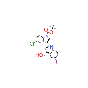 CC(C)(C)OC(=O)n1cc(-c2cc(CO)c3cc(I)ccc3n2)c2cc(Cl)ccc21